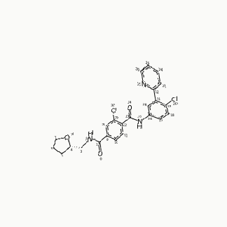 O=C(NC[C@@H]1CCCO1)c1ccc(C(=O)Nc2ccc(Cl)c(-c3ccccn3)c2)c(Cl)c1